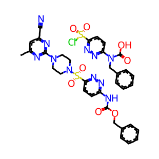 Cc1cc(C#N)nc(N2CCN(S(=O)(=O)c3ccc(NC(=O)OCc4ccccc4)nn3)CC2)n1.O=C(O)N(Cc1ccccc1)c1ccc(S(=O)(=O)Cl)nn1